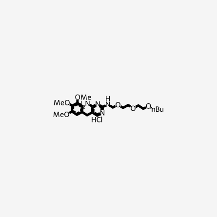 CCCCOCCOCCOCNc1ncc(Cc2cc(OC)c(OC)c(OC)c2)c(N)n1.Cl